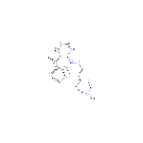 CN1CCN(C2CCN(c3ncnc4scc(-c5ccccc5)c34)CC2)CC1